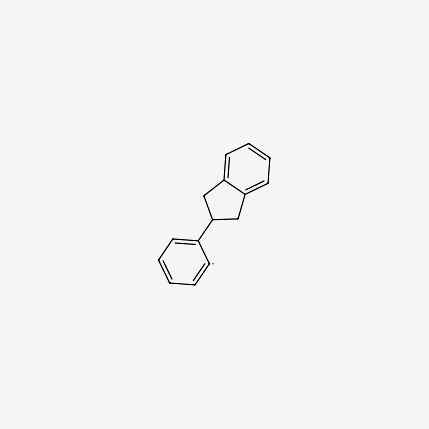 [c]1ccccc1C1Cc2ccccc2C1